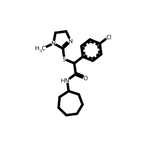 CN1CCN=C1SC(C(=O)NC1CCCCCC1)c1ccc(Cl)cc1